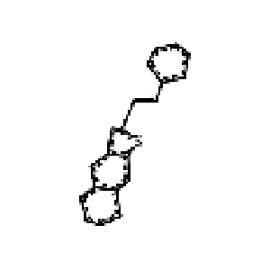 C(=Cc1cc2cc3ccccc3cc2s1)c1ccccc1